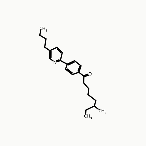 CCCCc1ccc(-c2ccc(C(=O)CCCCC(C)CC)cc2)nc1